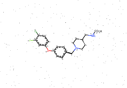 O=C(O)NCC1CCN(Cc2ccc(Oc3ccc(Cl)c(F)c3)cc2)CC1